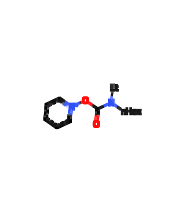 CCCCCCN(CC)C(=O)O[n+]1ccccc1